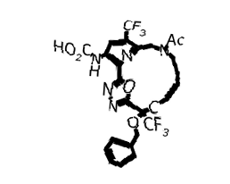 CC(=O)N1CCC=CCC(OCc2ccccc2)(C(F)(F)F)c2nnc(o2)-c2nc(c(C(F)(F)F)cc2NC(=O)O)C1